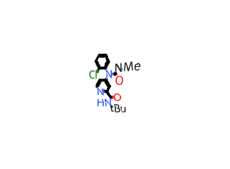 CNC(=O)N(c1ccnc(C(=O)NC(C)(C)C)c1)c1ccccc1Cl